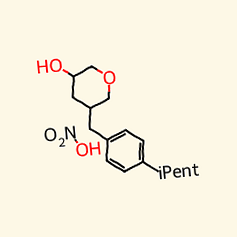 CCCC(C)c1ccc(CC2COCC(O)C2)cc1.O=[N+]([O-])O